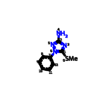 CSc1nc(N)nn1-c1ccccc1